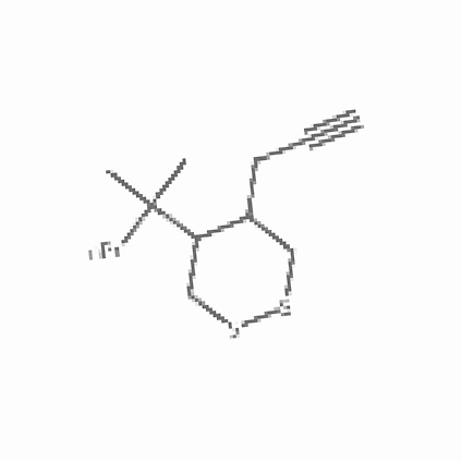 C#CCC1CSSCC1C(C)(C)CCC